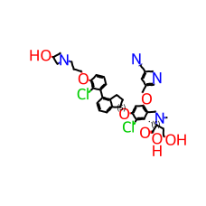 CN(Cc1cc(Cl)c(O[C@H]2CCc3c(-c4cccc(OCCCN5CC(O)C5)c4Cl)cccc32)cc1OCc1cncc(C#N)c1)[C@@](C)(CCO)C(=O)O